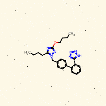 CCCCOc1nc(CCCC)n(Cc2ccc(-c3ccccc3-c3nnn[nH]3)cc2)n1